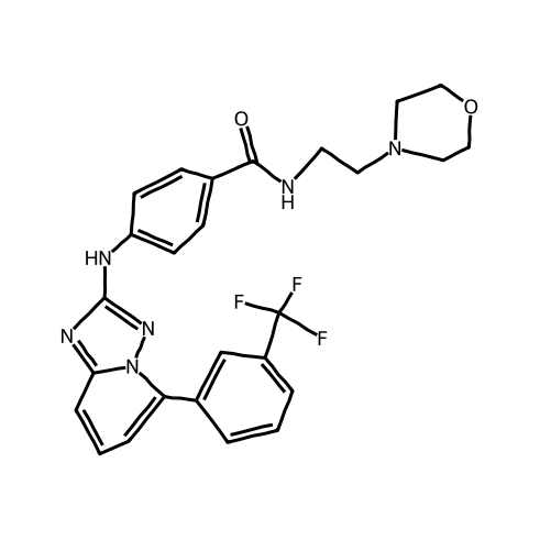 O=C(NCCN1CCOCC1)c1ccc(Nc2nc3cccc(-c4cccc(C(F)(F)F)c4)n3n2)cc1